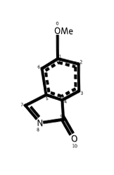 COc1ccc2c(c1)C=NC2=O